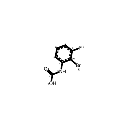 O=C(O)Nc1cccc(F)c1Br